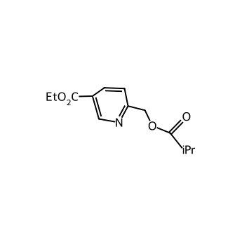 CCOC(=O)c1ccc(COC(=O)C(C)C)nc1